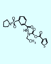 CCN(NC(=O)c1cccc(S(=O)(=O)N2CCCC2)c1)C(=O)OC(=O)c1ccsc1